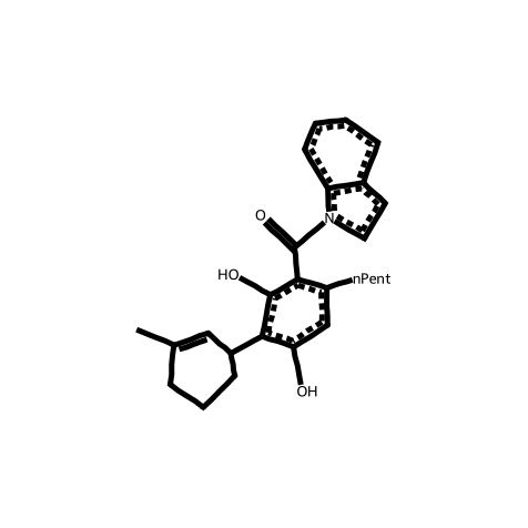 CCCCCc1cc(O)c(C2C=C(C)CCC2)c(O)c1C(=O)n1ccc2ccccc21